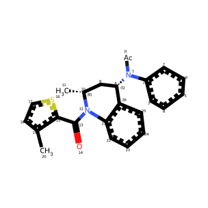 CC(=O)N(c1ccccc1)[C@H]1C[C@@H](C)N(C(=O)c2sccc2C)c2ccccc21